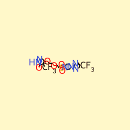 O=c1[nH]ncc(OCCOCCS(=O)(=O)N2CCN(c3ncc(C(F)(F)F)cn3)CC2)c1C(F)(F)F